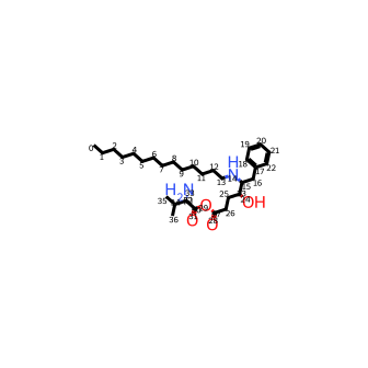 CCCCCCCCCCCCCCNC(Cc1ccccc1)C(O)CCC(=O)OC(=O)[C@@H](N)C(C)C